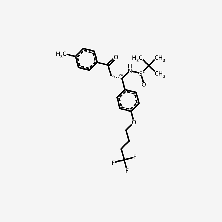 Cc1ccc(C(=O)C[C@H](N[S+]([O-])C(C)(C)C)c2ccc(OCCCC(F)(F)F)cc2)cc1